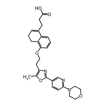 Cc1oc(-c2ccc(N3CCOCC3)nc2)nc1CCOc1cccc2c1CCC=C2CCC(=O)O